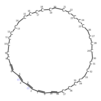 C1=C/C=C\C=C\C=CCCCCCCCCCCCCCCCCCCCCCCCCCCCCCCC=C1